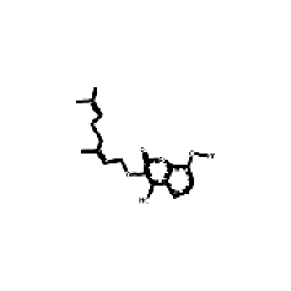 CC(C)=CCCC(C)=CCOc1c(O)c2cccc(OC(C)C)c2oc1=O